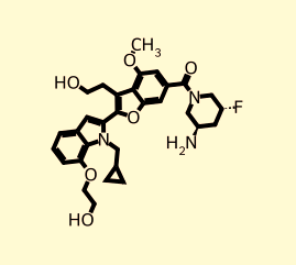 COc1cc(C(=O)N2C[C@H](N)C[C@@H](F)C2)cc2oc(-c3cc4cccc(OCCO)c4n3CC3CC3)c(CCO)c12